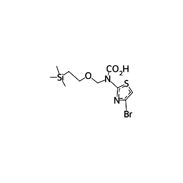 C[Si](C)(C)CCOCN(C(=O)O)c1nc(Br)cs1